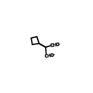 O=[C]C([C]=O)C1CCC1